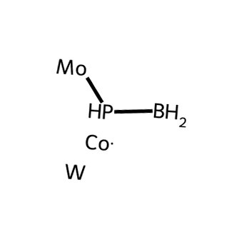 B[PH][Mo].[Co].[W]